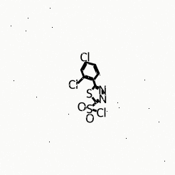 O=S(=O)(Cl)c1nnc(-c2ccc(Cl)cc2Cl)s1